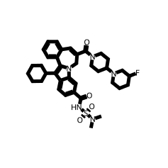 CN(C)S(=O)(=O)NC(=O)c1ccc2c(C3CCCCC3)c3n(c2c1)CC(C(=O)N1CCC(N2CCCC(F)C2)CC1)=Cc1ccccc1-3